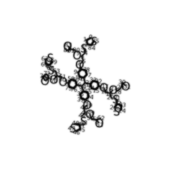 c1cc(SCC(COc2ccc(C(c3ccc(OCC(CSc4ccsc4)OCC4CO4)cc3)C(c3ccc(OCC(CSc4ccsc4)OCC4CO4)cc3)c3ccc(OCC(CSc4ccsc4)OC4CCO4)cc3)cc2)OCC2CO2)cs1